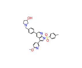 COc1ccc(-c2cn(S(=O)(=O)c3ccc(C)cc3)c3ncc(-c4ccc(CN5CCC(O)C5)cc4)cc23)cn1